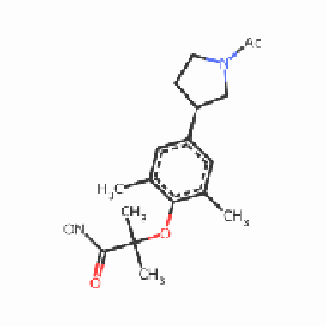 CC(=O)N1CC[C@H](c2cc(C)c(OC(C)(C)C(=O)N=O)c(C)c2)C1